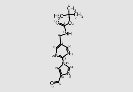 CC(C)(C)OC(=O)NCc1cnc(-n2cnc(C=O)c2)nc1